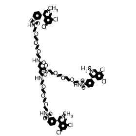 CN1Cc2c(Cl)cc(Cl)cc2[C@H](c2cccc(S(=O)(=O)NCCOCCOCCOCCNC(=O)CC(CC(=O)NCCOCCOCCOCCNS(=O)(=O)c3cccc([C@@H]4CN(C)Cc5c(Cl)cc(Cl)cc54)c3)C(=O)NCCOCCOCCOCCNS(=O)(=O)c3cccc([C@@H]4CN(C)Cc5c(Cl)cc(Cl)cc54)c3)c2)C1